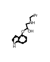 CC(C)CNCC(O)Oc1cccc2[nH]ccc12